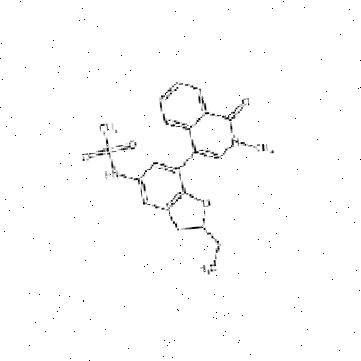 CCC1Cc2cc(NS(C)(=O)=O)cc(-c3cn(C)c(=O)c4ccccc34)c2O1